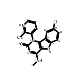 CNc1nc(=O)n(-c2cccnc2Cl)c2c1oc1ccc(Cl)cc12